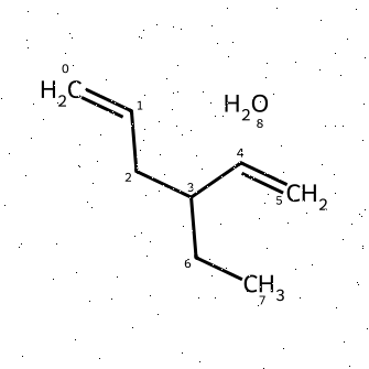 C=CCC(C=C)CC.O